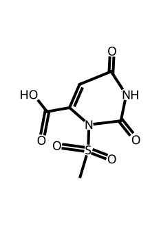 CS(=O)(=O)n1c(C(=O)O)cc(=O)[nH]c1=O